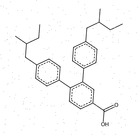 CCC(C)Cc1ccc(-c2ccc(C(=O)O)cc2-c2ccc(CC(C)CC)cc2)cc1